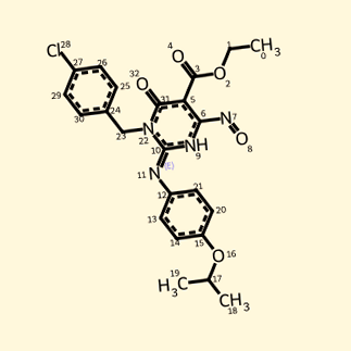 CCOC(=O)c1c(N=O)[nH]/c(=N\c2ccc(OC(C)C)cc2)n(Cc2ccc(Cl)cc2)c1=O